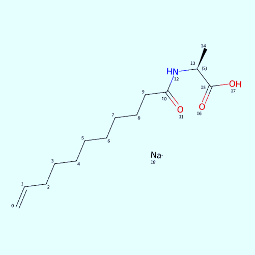 C=CCCCCCCCCC(=O)N[C@@H](C)C(=O)O.[Na]